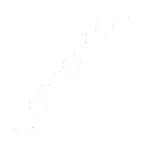 COC(=O)N1CCN(CCCc2cccc(NC(=O)Nc3ccc(C)nc3)c2F)CC1